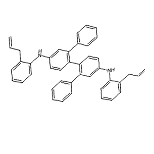 C=CCc1ccccc1Nc1ccc(-c2ccc(Nc3ccccc3CC=C)cc2-c2ccccc2)c(-c2ccccc2)c1